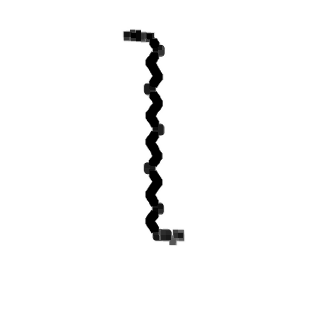 CCCCCCOCCOCCOCCOCCOCC(=O)O